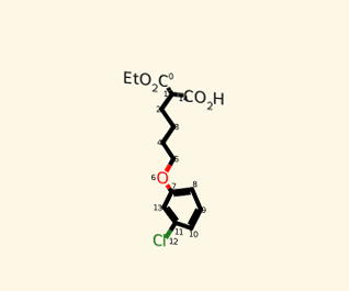 CCOC(=O)C(CCCCOc1cccc(Cl)c1)C(=O)O